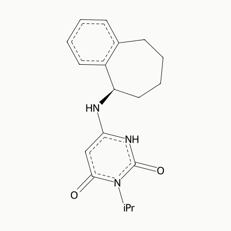 CC(C)n1c(=O)cc(N[C@@H]2CCCCc3ccccc32)[nH]c1=O